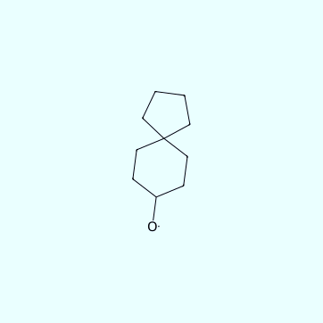 [O]C1CCC2(CCCC2)CC1